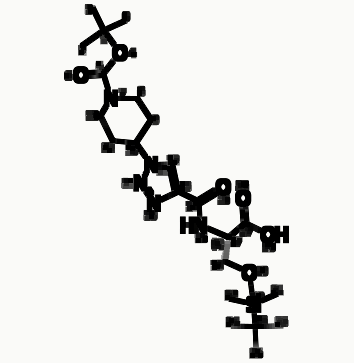 CC(C)(C)OC(=O)N1CCC(n2cc(C(=O)N[C@@H](CO[Si](C)(C)C(C)(C)C)C(=O)O)nn2)CC1